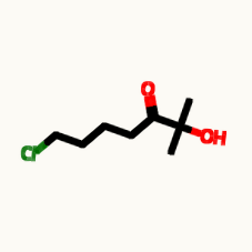 CC(C)(O)C(=O)CCCCCl